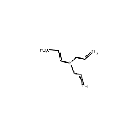 C=CCN(C=CC(=O)O)CC=C